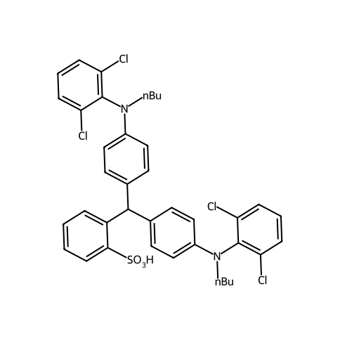 CCCCN(c1ccc(C(c2ccc(N(CCCC)c3c(Cl)cccc3Cl)cc2)c2ccccc2S(=O)(=O)O)cc1)c1c(Cl)cccc1Cl